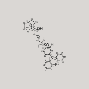 Fc1ccccc1[S+](c1ccccc1)c1ccccc1.O=S(=O)(O)C(F)(F)COCC(O)C12CC3CC(CC(C3)C1)C2